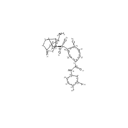 NC[C@@]1(O)C2CC[C@H]1C[C@H](S(=O)(=O)c1cc(C(=O)Nc3ccc(F)c(F)c3)ccc1Cl)C2